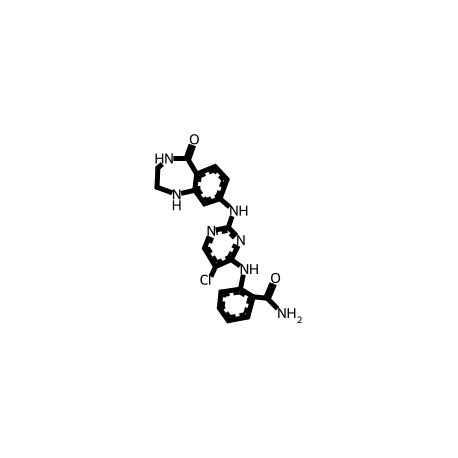 NC(=O)c1ccccc1Nc1nc(Nc2ccc3c(c2)NCCNC3=O)ncc1Cl